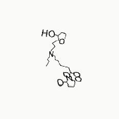 CCCN(CCCCCC(=O)ON1C(=O)CCC1=O)CCCC1OCCCC1O